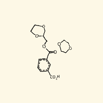 C1COCCO1.O=C(O)c1cccc(C(=O)OCC2COCCO2)c1